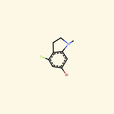 CN1CCc2c(F)cc(Br)cc21